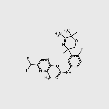 CC1(c2cc(NC(=O)Oc3ncc(C(F)F)nc3N)ccc2F)COC(C)(C(F)(F)F)C(N)=N1